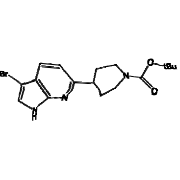 CC(C)(C)OC(=O)N1CCC(c2ccc3c(Br)c[nH]c3n2)CC1